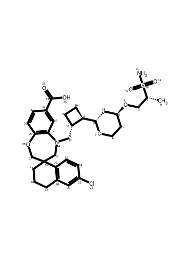 C[C@H](CO[C@H]1CCO[C@H]([C@@H]2CC[C@H]2CN2CC3(CCCc4cc(Cl)ccc43)COc3ccc(C(=O)O)cc32)C1)S(N)(=O)=O